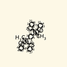 CN1B(c2ccc(B3N(C)c4oc5ccccc5c4N3c3csc4ccccc34)cc2)N(c2csc3ccccc23)c2c1oc1ccccc21